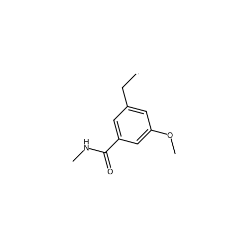 [CH2]Cc1cc(OC)cc(C(=O)NC)c1